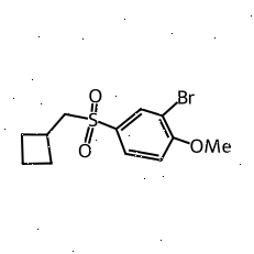 COc1ccc(S(=O)(=O)CC2CCC2)cc1Br